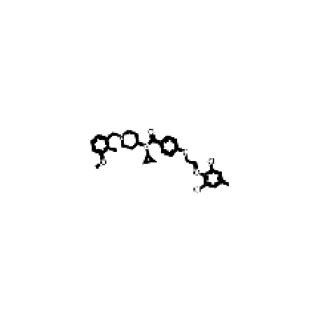 COc1cccc(CN2CCC(N(C(=O)c3ccc(OCCOc4c(Cl)cc(C)cc4Cl)cc3)C3CC3)CC2)c1C